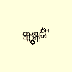 CC1(C)CC(CC(C#N)NC(=O)C2CC3(CCCCC3)CN2C(O)c2cc3cccc(Cl)c3[nH]2)C(=O)N1